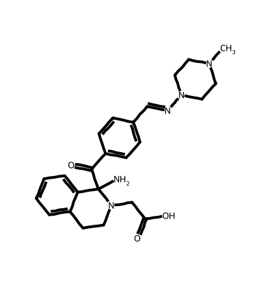 CN1CCN(N=Cc2ccc(C(=O)C3(N)c4ccccc4CCN3CC(=O)O)cc2)CC1